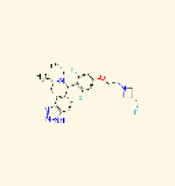 CC(C)CN1C(C)Cc2c(ccc3[nH]nnc23)C1c1c(F)cc(OCCN2CC(CF)C2)cc1F